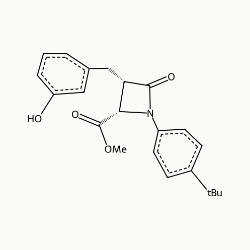 COC(=O)[C@@H]1[C@H](Cc2cccc(O)c2)C(=O)N1c1ccc(C(C)(C)C)cc1